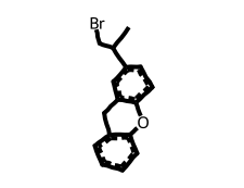 CC(CBr)c1ccc2c(c1)Cc1ccccc1O2